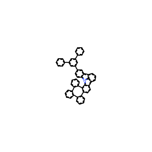 c1ccc(-c2cc(-c3ccccc3)cc(-c3ccc4c(c3)c3cccc5c6ccc7c(c6n4c35)-c3ccccc3-c3ccccc3-c3ccccc3-7)c2)cc1